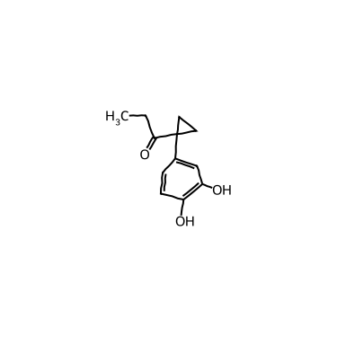 CCC(=O)C1(c2ccc(O)c(O)c2)CC1